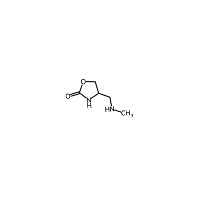 CNCC1COC(=O)N1